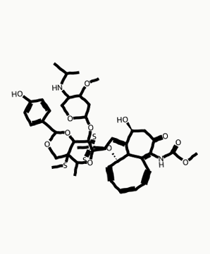 COC(=O)NC1=C2C#C/C=C\C#C[C@H](OC3OC(C)C4(SC)COC(c5ccc(O)cc5)OC4C3OC3CC(OC)C(NC(C)C)CO3)C2/C(=C\CS(C)(=S)=S)[C@@H](O)CC1=O